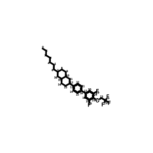 CCCCCCCC1CCC2CC(c3ccc(-c4cc(F)c(OCC(F)(F)F)c(F)c4)cc3)CCC2C1